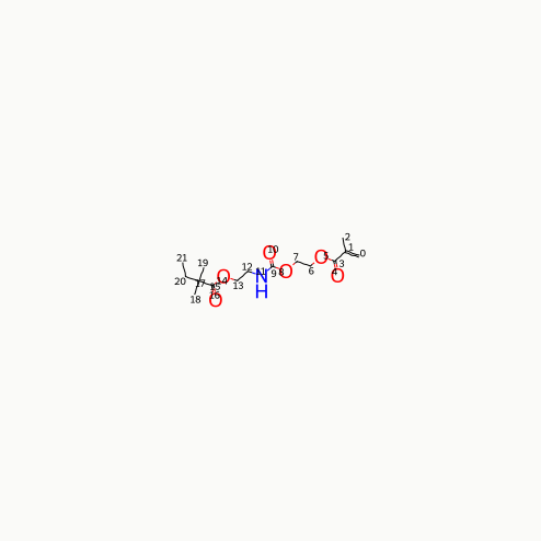 C=C(C)C(=O)OCCOC(=O)NCCOC(=O)C(C)(C)CC